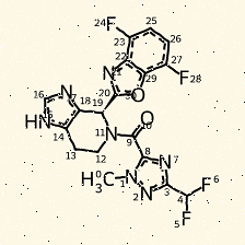 Cn1nc(C(F)F)nc1C(=O)N1CCc2[nH]cnc2[C@H]1c1nc2c(F)ccc(F)c2o1